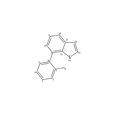 Cc1ccccc1-c1cccc2ccsc12